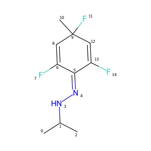 CC(C)NN=C1C(F)=CC(C)(F)C=C1F